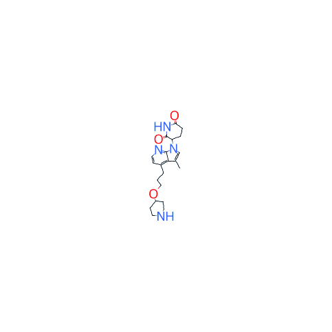 Cc1cn(C2CCC(=O)NC2=O)c2nccc(CCCOC3CCNCC3)c12